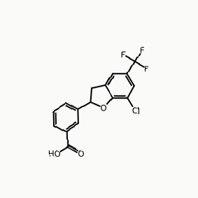 O=C(O)c1cccc(C2Cc3cc(C(F)(F)F)cc(Cl)c3O2)c1